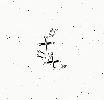 O=C([O-])O.O=C([O-])O.O=S(=O)([O-])[O-].O=S(=O)([O-])[O-].[Mg+2].[Mg+2].[Mg+2]